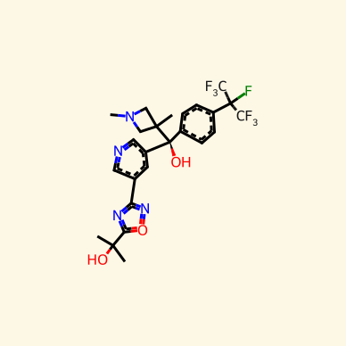 CN1CC(C)([C@](O)(c2ccc(C(F)(C(F)(F)F)C(F)(F)F)cc2)c2cncc(-c3noc(C(C)(C)O)n3)c2)C1